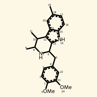 COc1ccc(CC2NC(C)C(C)c3c2[nH]c2ccc(C)cc32)cc1OC